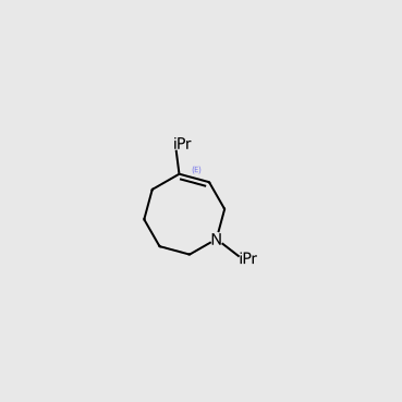 CC(C)/C1=C/CN(C(C)C)CCCC1